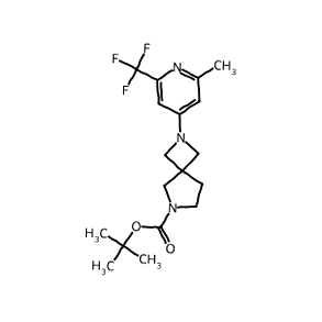 Cc1cc(N2CC3(CCN(C(=O)OC(C)(C)C)C3)C2)cc(C(F)(F)F)n1